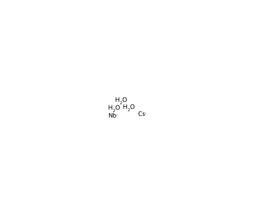 O.O.O.[Cs].[Nb]